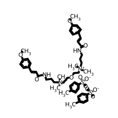 COc1ccc(C=CC(=O)NCCC[N+](C)(C)CCOCC[N+](C)(C)CCCNC(=O)C=Cc2ccc(OC)cc2)cc1.Cc1ccc(S(=O)(=O)[O-])cc1.Cc1ccc(S(=O)(=O)[O-])cc1